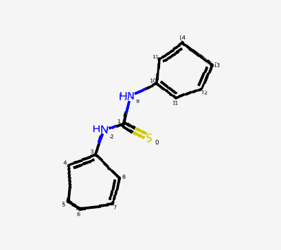 S=C(NC1=CC[CH]C=C1)Nc1ccccc1